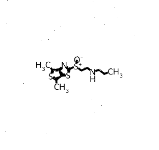 CCCNCC[S+]([O-])c1nc2c(C)sc(C)c2s1